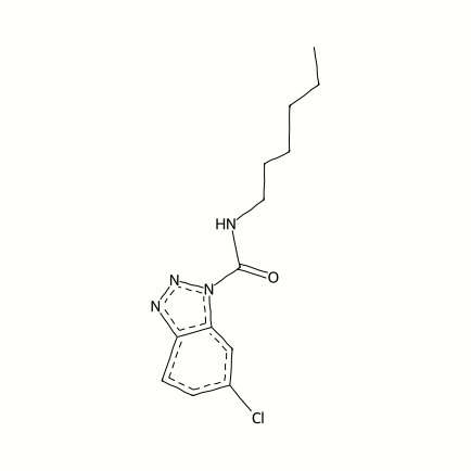 CCCCCCNC(=O)n1nnc2ccc(Cl)cc21